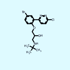 CC(C)(C)NCC(O)COc1ccc(Br)cc1-c1ccc(Cl)nn1